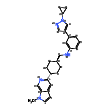 Cn1ccc2cc([C@H]3CC[C@H](CNc4cccc(-c5cnn(C6CC6)c5)c4)CC3)ncc21